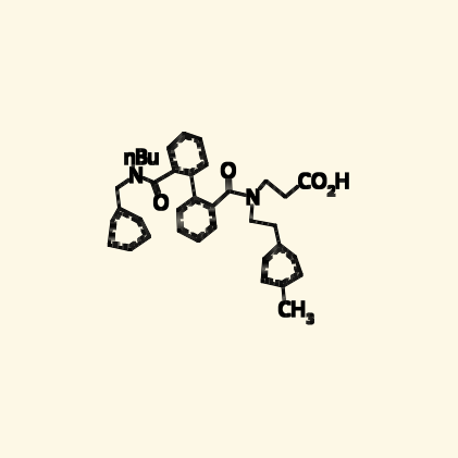 CCCCN(Cc1ccccc1)C(=O)c1ccccc1-c1ccccc1C(=O)N(CCC(=O)O)CCc1ccc(C)cc1